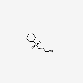 O=S(=O)(CCCO)C1CCCCC1